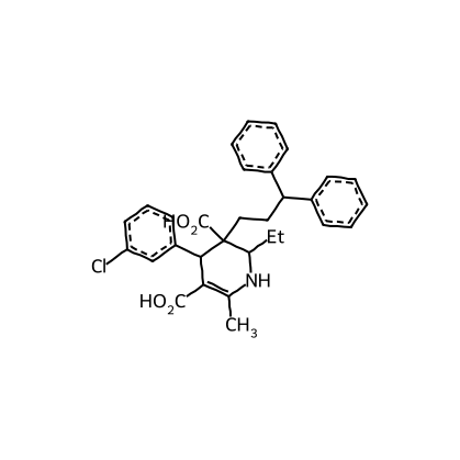 CCC1NC(C)=C(C(=O)O)C(c2cccc(Cl)c2)C1(CCC(c1ccccc1)c1ccccc1)C(=O)O